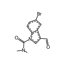 CN(C)C(=O)n1cc(C=O)c2cc(Br)ccc21